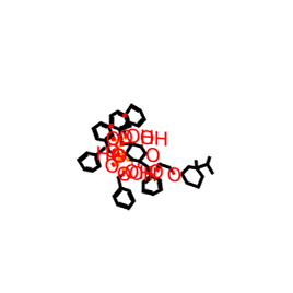 CC(C)C1(C)CCCC(OCC(=O)O[C@H]2[C@@H](O)[C@](O)(Cc3ccccc3)[C@@](O)(P(=O)(OCc3ccccc3)OCc3ccccc3)[C@](O)(P(=O)(OCc3ccccc3)OCc3ccccc3)[C@@]2(O)Cc2ccccc2)C1